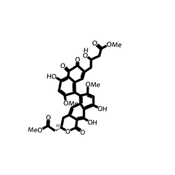 COC(=O)CC(O)CC1=Cc2c(c(O)cc(OC)c2-c2c(OC)cc(O)c3c(O)c4c(cc23)C[C@@H](CC(=O)OC)OC4=O)C(=O)C1=O